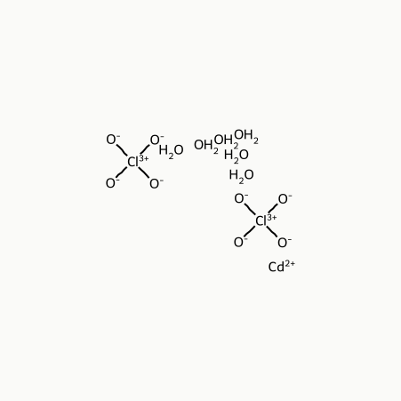 O.O.O.O.O.O.[Cd+2].[O-][Cl+3]([O-])([O-])[O-].[O-][Cl+3]([O-])([O-])[O-]